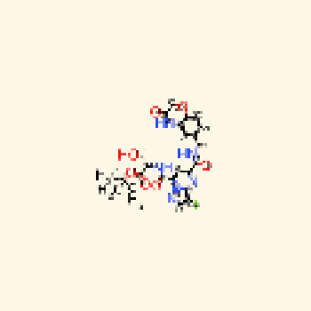 CC(C)(C)OC(=O)[C@H](CO)NC(=O)c1cc(C(=O)NCc2ccc3c(c2)NC(=O)CO3)nc2c(F)cnn12